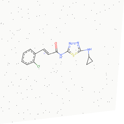 O=C(/C=C/c1ccccc1Cl)Nc1nnc(NC2CC2)s1